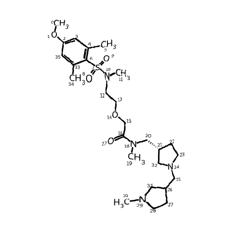 COc1cc(C)c(S(=O)(=O)N(C)CCOCC(=O)N(C)C[C@@H]2CCN(CC3CCN(C)C3)C2)c(C)c1